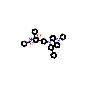 c1ccc(-c2ccc(N(c3ccc(-c4cc5oc(-c6ccccc6)nc5c5c4oc4ccccc45)cc3)c3cccc4c3c3ccccc3n4-c3ccccc3)cc2)cc1